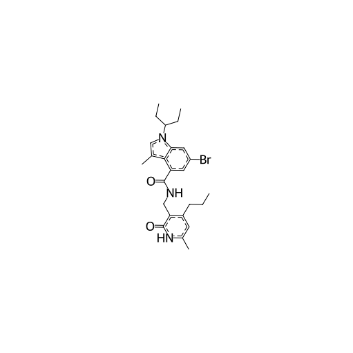 CCCc1cc(C)[nH]c(=O)c1CNC(=O)c1cc(Br)cc2c1c(C)cn2C(CC)CC